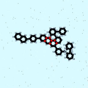 c1ccc(-c2ccccc2-c2c(-c3ccccc3)cccc2N(c2ccc(-c3ccc(-c4ccc5ccccc5c4)cc3)cc2)c2ccc(-c3cccc(-n4c5ccccc5c5ccccc54)c3)cc2)cc1